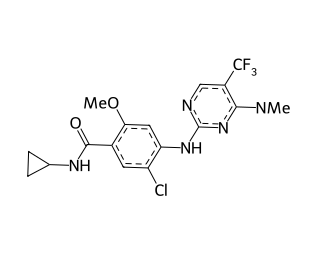 CNc1nc(Nc2cc(OC)c(C(=O)NC3CC3)cc2Cl)ncc1C(F)(F)F